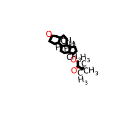 CC(C)(C)C(=O)CO[C@H]1CC[C@H]2[C@@H]3CCC4CC(=O)CC[C@]4(C)[C@H]3CC[C@]12C